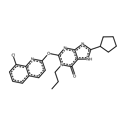 CCCn1c(Oc2ccc3cccc(Cl)c3n2)nc2nc(C3CCCC3)[nH]c2c1=O